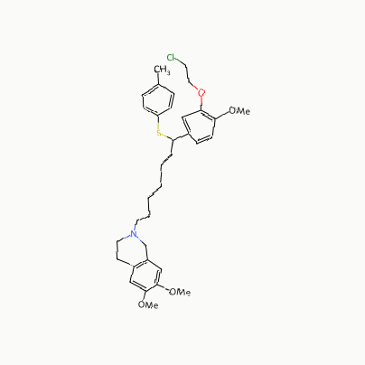 COc1cc2c(cc1OC)CN(CCCCCCC(Sc1ccc(C)cc1)c1ccc(OC)c(OCCCl)c1)CC2